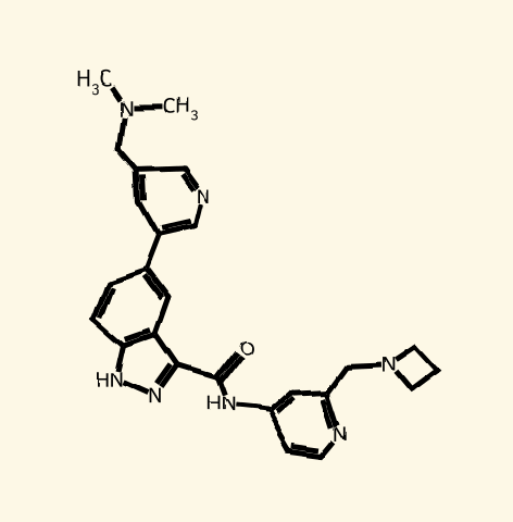 CN(C)Cc1cncc(-c2ccc3[nH]nc(C(=O)Nc4ccnc(CN5CCC5)c4)c3c2)c1